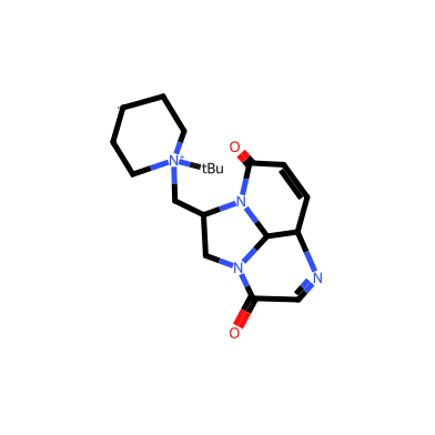 CC(C)(C)[N+]1(CC2CN3C(=O)C=NC4C=CC(=O)N2C43)CC[CH]CC1